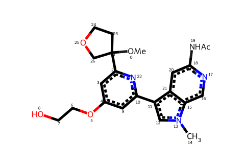 COC1(c2cc(OCCO)cc(-c3cn(C)c4cnc(NC(C)=O)cc34)n2)CCOC1